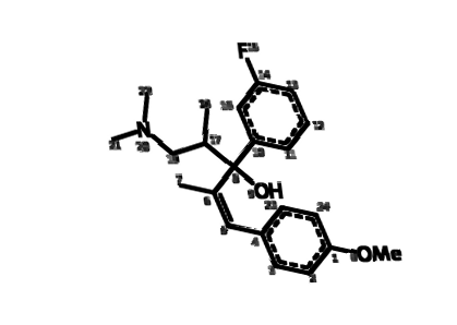 COc1ccc(C=C(C)C(O)(c2cccc(F)c2)C(C)CN(C)C)cc1